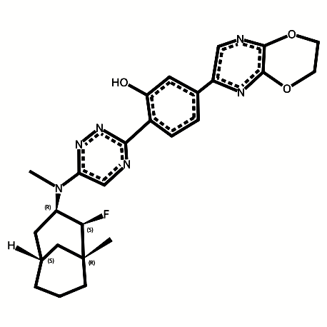 CN(c1cnc(-c2ccc(-c3cnc4c(n3)OCCO4)cc2O)nn1)[C@@H]1C[C@H]2CCC[C@](C)(C2)[C@@H]1F